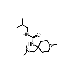 CC(C)CNC(=O)NC1(CN(C)C)CCN(C)CC1